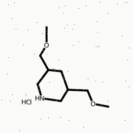 COCC1CNCC(COC)C1.Cl